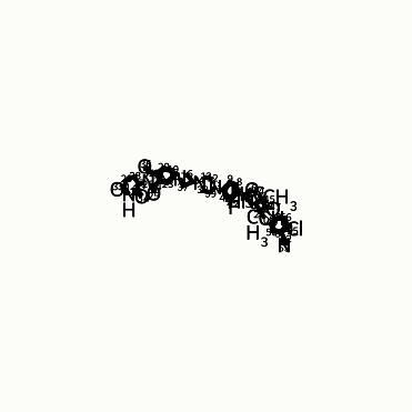 CC1(C)[C@H](NC(=O)c2ccc(N3CCN(C4CN(c5ccc6c(c5)C(=O)N(C5CCC(=O)NC5=O)C6=O)C4)CC3)cc2F)C(C)(C)[C@H]1Oc1ccc(C#N)c(Cl)c1